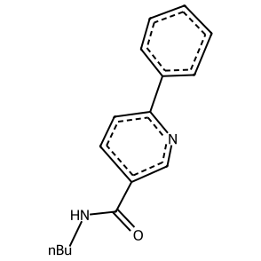 CCCCNC(=O)c1ccc(-c2ccccc2)nc1